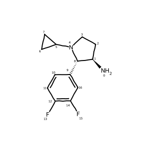 N[C@@H]1CCN(C2CC2)[C@H]1c1ccc(F)c(F)c1